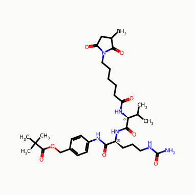 BC1CC(=O)N(CCCCCC(=O)N[C@H](C(=O)N[C@@H](CCCNC(N)=O)C(=O)Nc2ccc(COC(=O)C(C)(C)C)cc2)C(C)C)C1=O